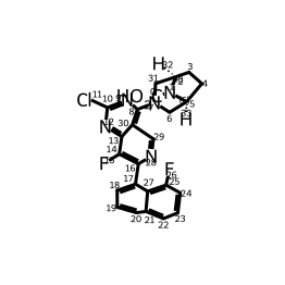 O=C(O)N1[C@@H]2CC[C@H]1CN(c1nc(Cl)nc3c(F)c(-c4cccc5cccc(F)c45)ncc13)C2